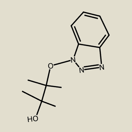 CC(C)(O)C(C)(C)On1nnc2ccccc21